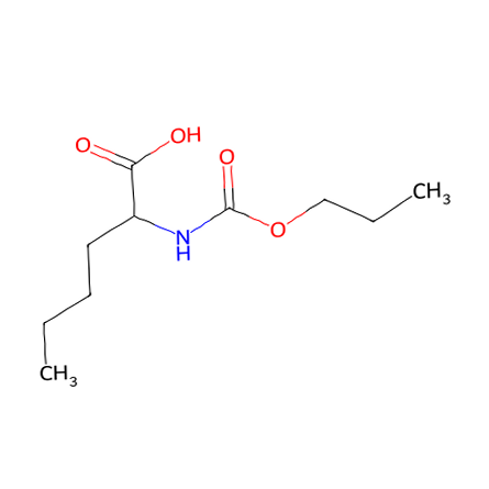 CCCCC(NC(=O)OCCC)C(=O)O